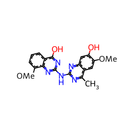 COc1cc2c(C)nc(Nc3nc(O)c4cccc(OC)c4n3)nc2cc1O